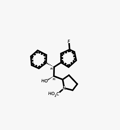 O=C(O)N1CCCC1[C@H](O)[C@H](c1ccccc1)c1cccc(F)c1